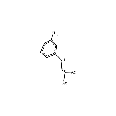 CC(=O)C(=NNc1cccc(C)c1)C(C)=O